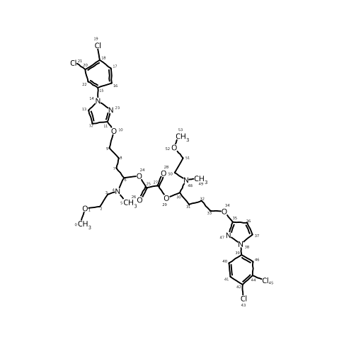 COCCN(C)C(CCCOc1ccn(-c2ccc(Cl)c(Cl)c2)n1)OC(=O)C(=O)OC(CCCOc1ccn(-c2ccc(Cl)c(Cl)c2)n1)N(C)CCOC